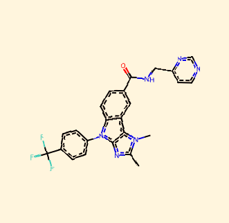 Cc1nc2c(c3cc(C(=O)NCc4ccncn4)ccc3n2-c2ccc(C(F)(F)F)cc2)n1C